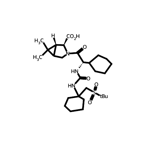 CC1(C)C2CN(C(=O)[C@@H](NC(=O)NC3(CS(=O)(=O)C(C)(C)C)CCCCC3)C3CCCCC3)[C@H](C(=O)O)[C@H]21